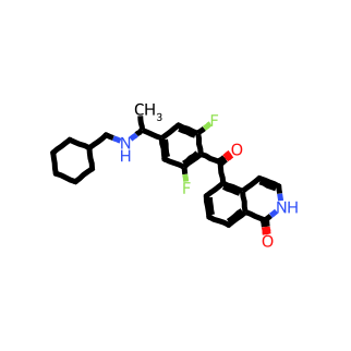 CC(NCC1CCCCC1)c1cc(F)c(C(=O)c2cccc3c(=O)[nH]ccc23)c(F)c1